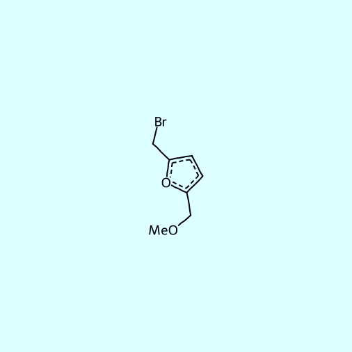 COCc1ccc(CBr)o1